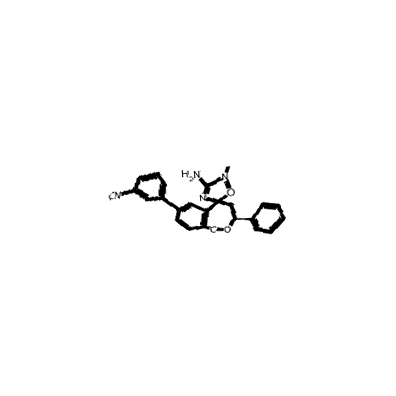 [C-]#[N+]c1cccc(-c2ccc3c(c2)C2(C[C@@H](c4ccccc4)OC3)N=C(N)N(C)O2)c1